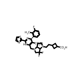 CCOC(=O)C1=C(CN2CC(F)(F)C3C2CCN3CCC2CC(C(=O)O)C2)NC(c2nccs2)=N[C@H]1c1cccc(F)c1C